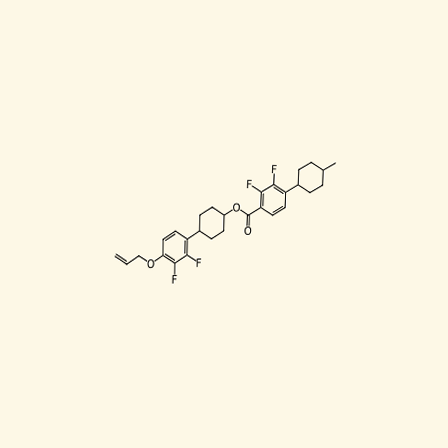 C=CCOc1ccc(C2CCC(OC(=O)c3ccc(C4CCC(C)CC4)c(F)c3F)CC2)c(F)c1F